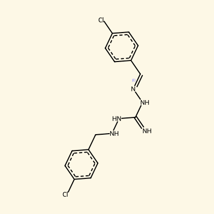 N=C(N/N=C/c1ccc(Cl)cc1)NNCc1ccc(Cl)cc1